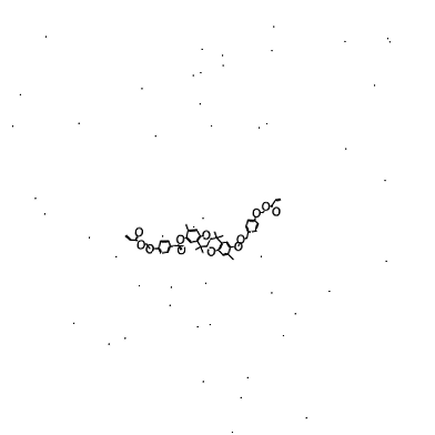 C=CC(=O)OCOc1ccc(COOc2cc3c(cc2C)OC2C(Oc4cc(C)c(OC(=O)c5ccc(OCOC(=O)C=C)cc5)cc4C2(C)C)C3(C)C)cc1